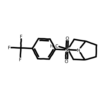 CN1CC2CCC(C1)N2S(=O)(=O)c1ccc(C(F)(F)F)cc1